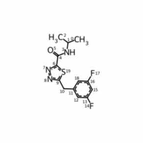 CC(C)NC(=O)c1nnc(Cc2cc(F)cc(F)c2)s1